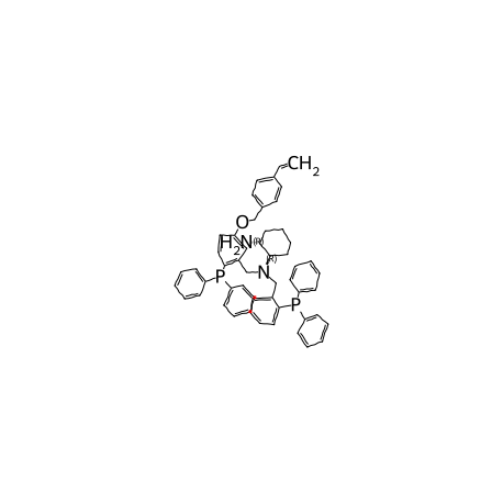 C=Cc1ccc(COc2ccc(P(c3ccccc3)c3ccccc3)c(CN(Cc3ccccc3P(c3ccccc3)c3ccccc3)[C@@H]3CCCC[C@H]3N)c2)cc1